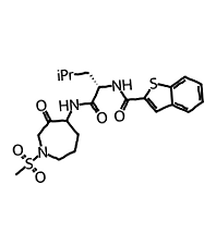 CC(C)C[C@H](NC(=O)c1cc2ccccc2s1)C(=O)NC1CCCN(S(C)(=O)=O)CC1=O